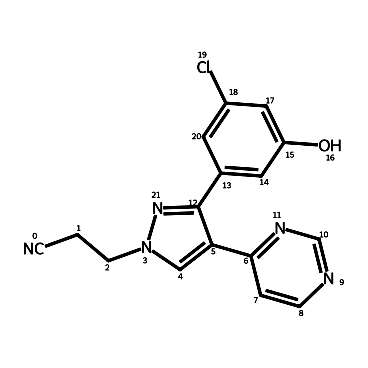 N#CCCn1cc(-c2ccncn2)c(-c2cc(O)cc(Cl)c2)n1